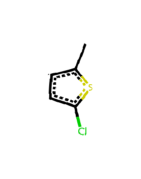 Cc1[c]cc(Cl)s1